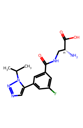 CC(C)n1nncc1-c1cc(F)cc(C(=O)NC[C@@H](N)C(=O)O)c1